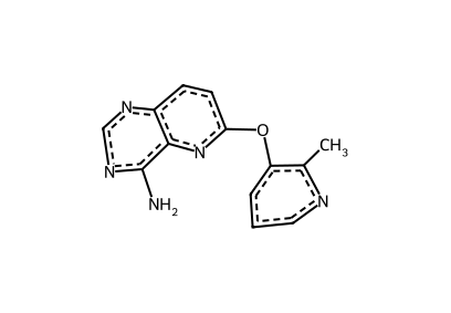 Cc1ncccc1Oc1ccc2ncnc(N)c2n1